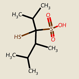 CC(C)C(C)C(S)(C(C)C)S(=O)(=O)O